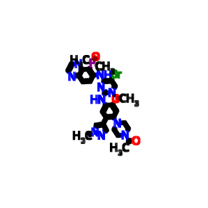 COc1cc(N2CCN(C(C)=O)CC2)c(-c2cnn(C)c2)cc1Nc1ncc(Br)c(Nc2ccc3nccnc3c2P(C)(C)=O)n1